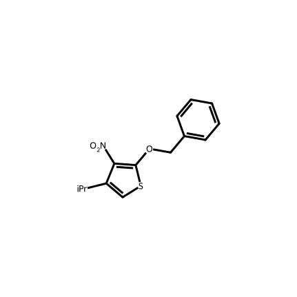 CC(C)c1csc(OCc2ccccc2)c1[N+](=O)[O-]